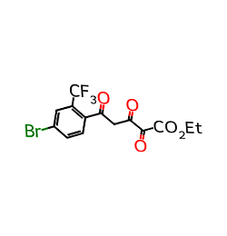 CCOC(=O)C(=O)C(=O)CC(=O)c1ccc(Br)cc1C(F)(F)F